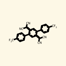 N#CC(C#N)=c1cc(-c2ccc(C(F)(F)F)cc2)c(=C(C#N)C#N)cc1-c1ccc(C(F)(F)F)cc1